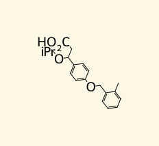 Cc1ccccc1COc1ccc(C(CC(=O)O)OC(C)C)cc1